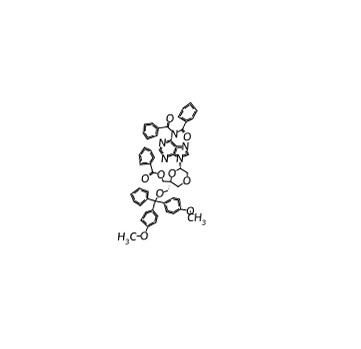 COc1ccc(C(OC[C@@]2(COC(=O)c3ccccc3)COC[C@H](n3cnc4c(N(C(=O)c5ccccc5)C(=O)c5ccccc5)ncnc43)O2)(c2ccccc2)c2ccc(OC)cc2)cc1